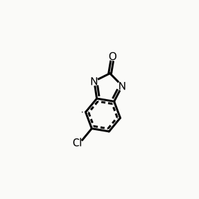 O=C1N=c2[c]c(Cl)ccc2=N1